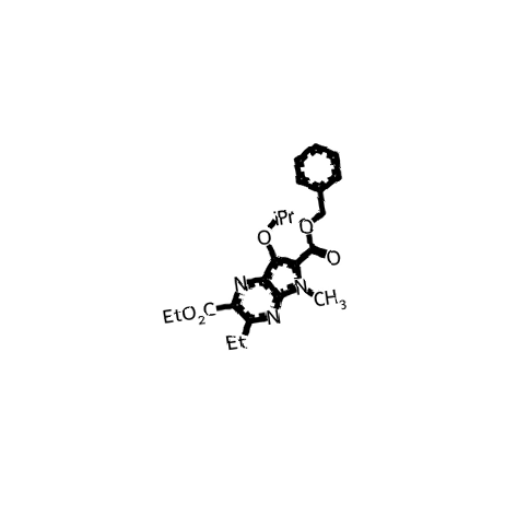 CCOC(=O)c1nc2c(OC(C)C)c(C(=O)OCc3ccccc3)n(C)c2nc1CC